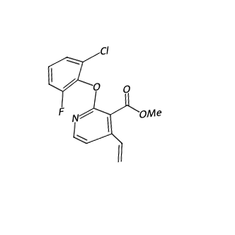 C=Cc1ccnc(Oc2c(F)cccc2Cl)c1C(=O)OC